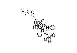 C=CC(=O)OCCCNC(=O)[C@@]1(O)CC2O[C@]1(C)n1c3ccccc3c3c4c(c5c6ccccc6n2c5c31)C(=O)NC4=O